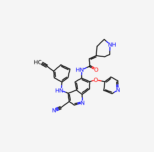 C#Cc1cccc(Nc2c(C#N)cnc3cc(Oc4ccncc4)c(NC(=O)C=C4CCNCC4)cc23)c1